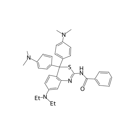 CCN(CC)c1ccc2c(c1)N=C(NC(=O)c1ccccc1)SC2(c1ccc(N(C)C)cc1)c1ccc(N(C)C)cc1